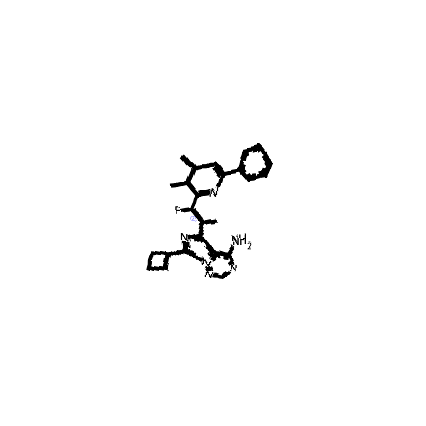 C/C(=C(/F)C1=NC(c2ccccc2)=CC(C)C1C)c1nc(C2CCC2)n2ncnc(N)c12